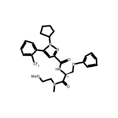 COCCN(C)C(=O)[C@H](COc1ccccc1)NC(=O)c1cc(-c2ccccc2C(F)(F)F)n(C2CCCC2)n1